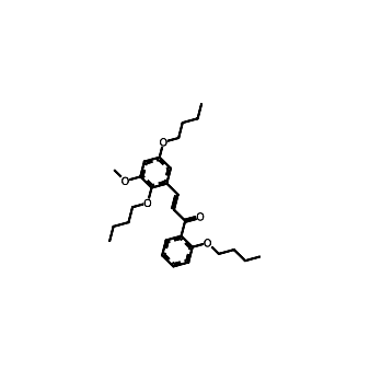 CCCCOc1cc(/C=C/C(=O)c2ccccc2OCCCC)c(OCCCC)c(OC)c1